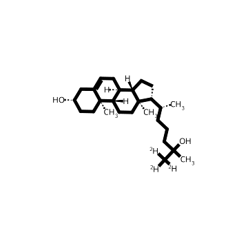 [2H]C([2H])([2H])C(C)(O)CCC[C@@H](C)[C@H]1CC[C@H]2[C@@H]3CC=C4C[C@@H](O)CC[C@]4(C)[C@H]3CC[C@]12C